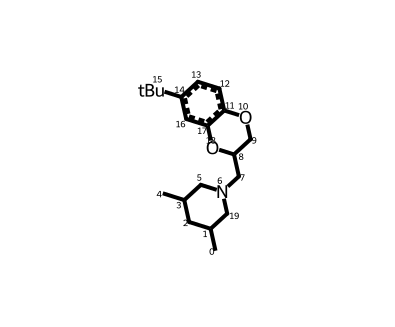 CC1CC(C)CN(CC2COc3ccc(C(C)(C)C)cc3O2)C1